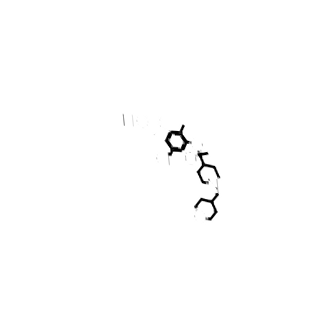 Cc1c(C(=O)O)cc(Cl)c2c1OC(C)(C1CCN(CC3CCOCC3)CC1)O2